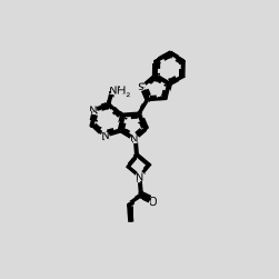 C=CC(=O)N1CC(n2cc(-c3cc4ccccc4s3)c3c(N)ncnc32)C1